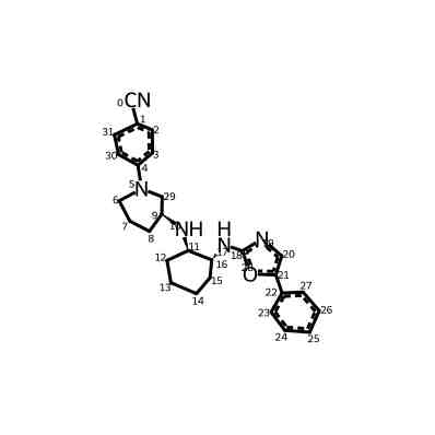 N#Cc1ccc(N2CCC[C@H](N[C@@H]3CCCC[C@H]3Nc3ncc(-c4ccccc4)o3)C2)cc1